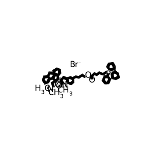 COc1nc2ccc(CCCCOC(=O)CCCCC[P+](c3ccccc3)(c3ccccc3)c3ccccc3)cc2cc1[C@@H](c1ccccc1)[C@@](O)(CCN(C)C)c1cccc2ccccc12.[Br-]